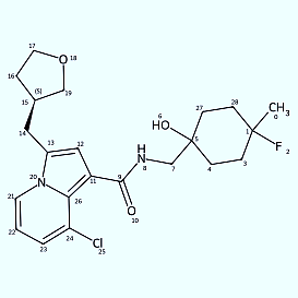 CC1(F)CCC(O)(CNC(=O)c2cc(C[C@H]3CCOC3)n3cccc(Cl)c23)CC1